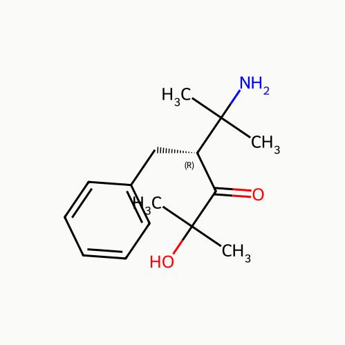 CC(C)(O)C(=O)[C@H](Cc1ccccc1)C(C)(C)N